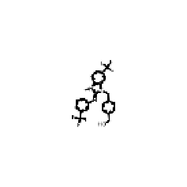 Cn1/c(=N\c2cccc(C(F)(F)F)c2)n(Cc2ccc(CO)cc2)c2cc(C(F)(F)F)ccc21